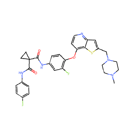 CN1CCN(Cc2cc3nccc(Oc4ccc(NC(=O)C5(C(=O)Nc6ccc(F)cc6)CC5)cc4F)c3s2)CC1